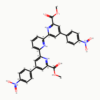 COC(=O)c1cc(-c2ccc([N+](=O)[O-])cc2)cc(-c2cccc(-c3cc(-c4ccc([N+](=O)[O-])cc4)cc(C(=O)OC)n3)n2)n1